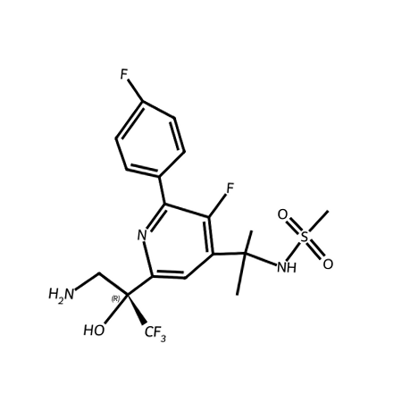 CC(C)(NS(C)(=O)=O)c1cc([C@](O)(CN)C(F)(F)F)nc(-c2ccc(F)cc2)c1F